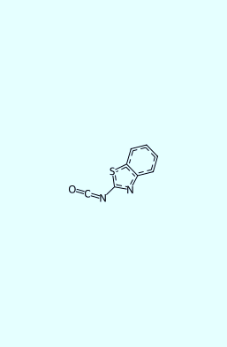 O=C=Nc1nc2ccccc2s1